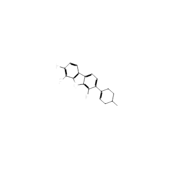 CC1CC=C(c2ccc3c(oc4c(F)c(F)ccc43)c2F)CC1